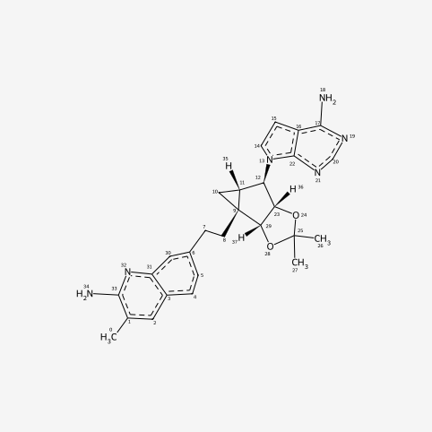 Cc1cc2ccc(CC[C@@]34C[C@@H]3[C@@H](n3ccc5c(N)ncnc53)[C@@H]3OC(C)(C)O[C@@H]34)cc2nc1N